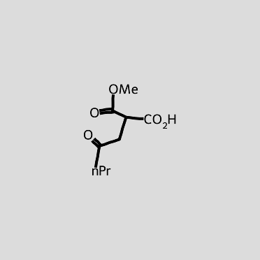 CCCC(=O)CC(C(=O)O)C(=O)OC